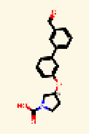 O=Cc1cccc(-c2cccc(O[C@H]3CCN(C(=O)O)C3)c2)c1